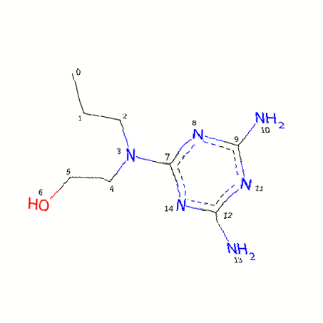 CCCN(CCO)c1nc(N)nc(N)n1